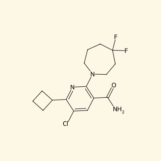 NC(=O)c1cc(Cl)c(C2CCC2)nc1N1CCCC(F)(F)CC1